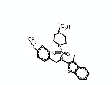 Cc1c(N(Cc2ccc(OC(F)(F)F)cc2)S(=O)(=O)N2CCN(C(=O)O)CC2)sc2ccccc12